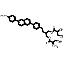 C=C(CO)C(=O)OCC(CCc1ccc(-c2ccc3cc(-c4ccc(CCCCC)cc4)ccc3c2)cc1)COC(=O)C(=C)CO